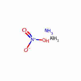 N.O=[N+]([O-])O.[AlH3]